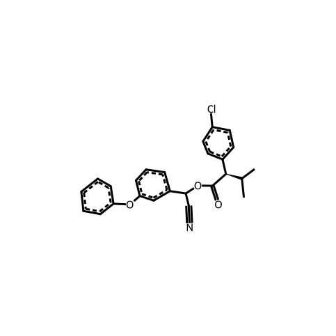 CC(C)[C@@H](C(=O)OC(C#N)c1cccc(Oc2ccccc2)c1)c1ccc(Cl)cc1